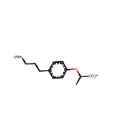 CCCCCCCCCCCCc1ccc(OC(C)C(=O)O)cc1